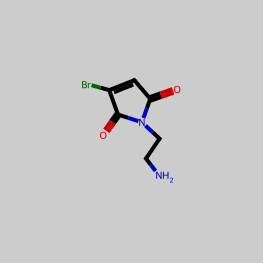 NCCN1C(=O)C=C(Br)C1=O